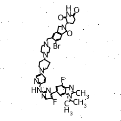 Cc1nc2c(F)cc(-c3nc(Nc4ccc(N5CCC(N6CCN(Cc7cc8c(cc7Br)C(=O)N(C7CCC(=O)NC7=O)C8)CC6)CC5)cn4)ncc3F)cc2n1C(C)C